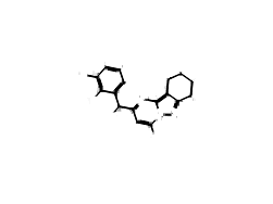 Oc1cc(C(S)c2cccc(F)c2F)nc2c3c(nn12)CCCC3